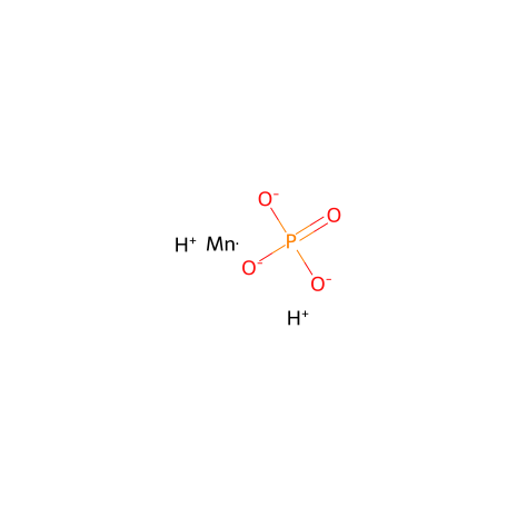 O=P([O-])([O-])[O-].[H+].[H+].[Mn]